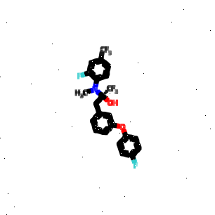 CN(c1ccc(C(F)(F)F)cc1F)[C@@](O)(Cc1cccc(Oc2ccc(F)cc2)c1)C(F)(F)F